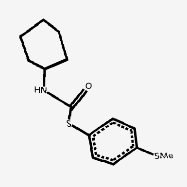 CSc1ccc(SC(=O)NC2CCCCC2)cc1